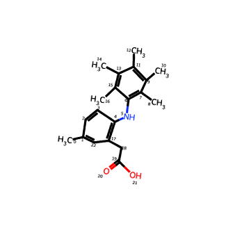 Cc1ccc(Nc2c(C)c(C)c(C)c(C)c2C)c(CC(=O)O)c1